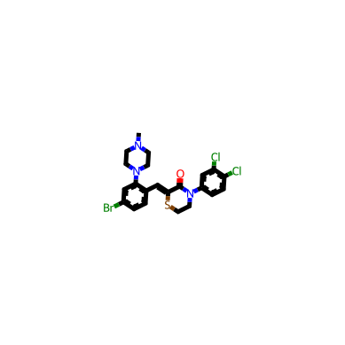 CN1CCN(c2cc(Br)ccc2C=C2SCCN(c3ccc(Cl)c(Cl)c3)C2=O)CC1